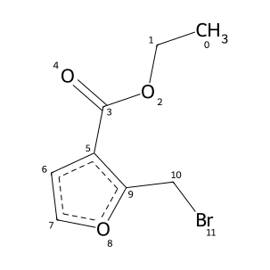 CCOC(=O)c1ccoc1CBr